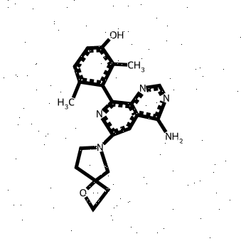 Cc1ccc(O)c(C)c1-c1nc(N2CCC3(CCO3)C2)cc2c(N)ncnc12